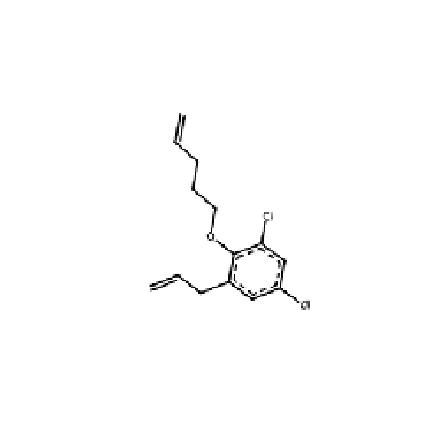 C=CCCCOc1c(Cl)cc(Cl)cc1CC=C